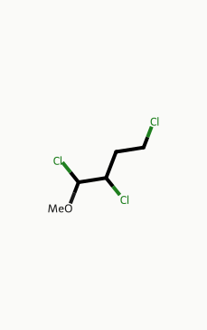 COC(Cl)C(Cl)CCCl